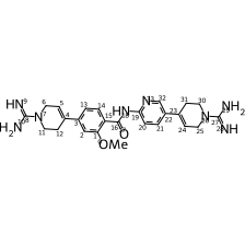 COc1cc(C2=CCN(C(=N)N)CC2)ccc1C(=O)Nc1ccc(C2=CCN(C(=N)N)CC2)cn1